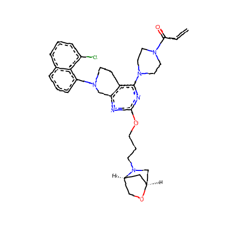 C=CC(=O)N1CCN(c2nc(OCCCN3C[C@@H]4C[C@H]3CO4)nc3c2CCN(c2cccc4cccc(Cl)c24)C3)CC1